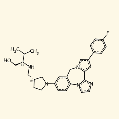 CC(C)[C@H](CO)NC[C@H]1CCN(c2ccc3c(c2)Cn2cc(-c4ccc(F)cc4)cc2-c2nccn2-3)C1